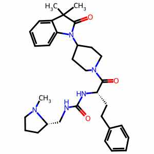 CN1CCC[C@H]1CNC(=O)N[C@@H](CCc1ccccc1)C(=O)N1CCC(N2C(=O)C(C)(C)c3ccccc32)CC1